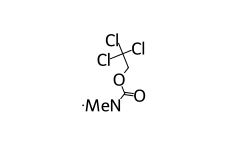 C[N]C(=O)OCC(Cl)(Cl)Cl